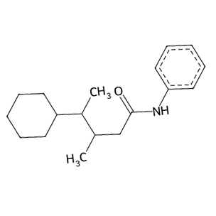 CC(CC(=O)Nc1ccccc1)C(C)C1CCCCC1